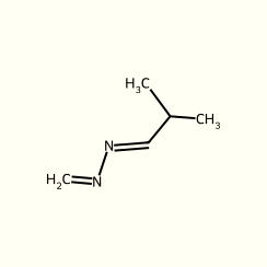 C=N/N=C/C(C)C